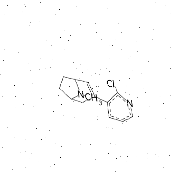 CN1C2C=C(c3cccnc3Cl)CC1CC2